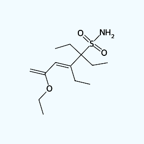 C=C(/C=C(\CC)C(CC)(CC)S(N)(=O)=O)OCC